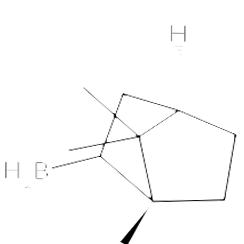 BC1C[C@H]2CC[C@@]1(C)C2(C)C